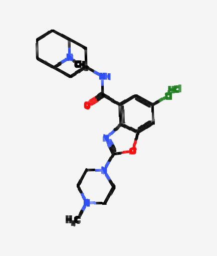 CN1CCN(c2nc3c(C(=O)NC4CC5CCCC(C4)N5C)cc(Cl)cc3o2)CC1.Cl